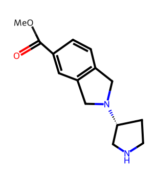 COC(=O)c1ccc2c(c1)CN([C@@H]1CCNC1)C2